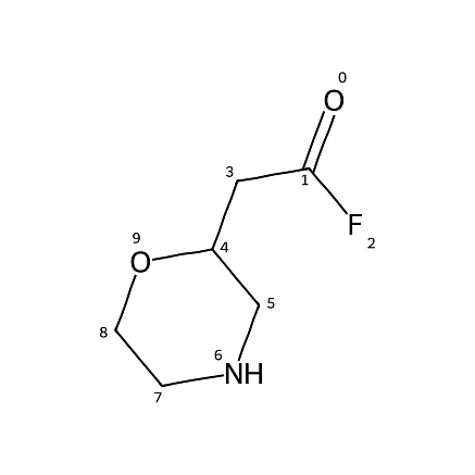 O=C(F)CC1CNCCO1